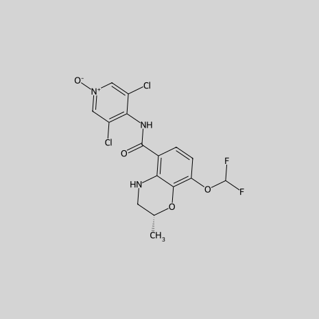 C[C@@H]1CNc2c(C(=O)Nc3c(Cl)c[n+]([O-])cc3Cl)ccc(OC(F)F)c2O1